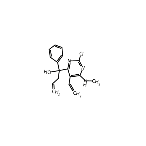 C=CCC(O)(c1ccccc1)c1nc(Cl)nc(NC)c1C=C